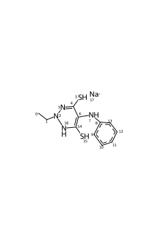 CCN1N=C(S)C(Nc2ccccc2)=C(S)N1.[Na]